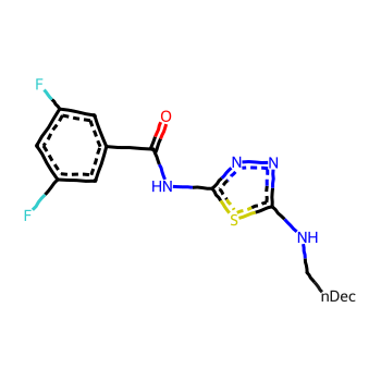 CCCCCCCCCCCNc1nnc(NC(=O)c2cc(F)cc(F)c2)s1